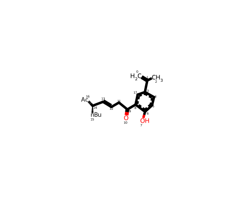 C=C(C)c1ccc(O)c(C(=O)C/C=C/[C@@H](CCCC)C(C)=O)c1